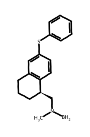 BN(C)C[C@H]1CCCc2cc(Sc3ccccc3)ccc21